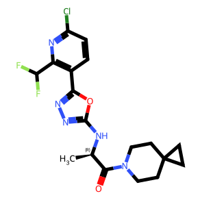 C[C@@H](Nc1nnc(-c2ccc(Cl)nc2C(F)F)o1)C(=O)N1CCC2(CC1)CC2